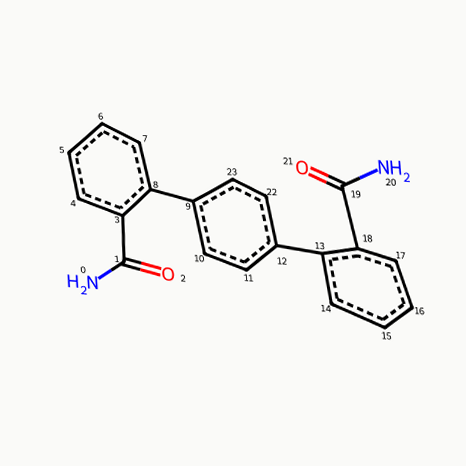 NC(=O)c1ccccc1-c1ccc(-c2ccccc2C(N)=O)cc1